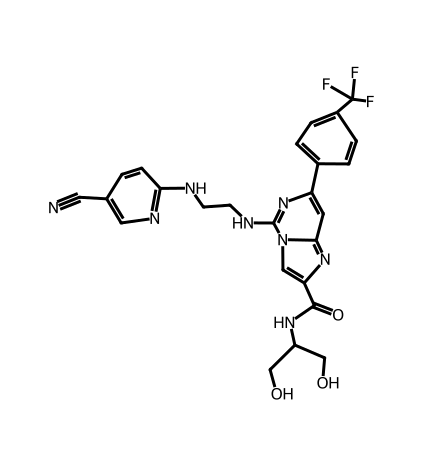 N#Cc1ccc(NCCNc2nc(-c3ccc(C(F)(F)F)cc3)cc3nc(C(=O)NC(CO)CO)cn23)nc1